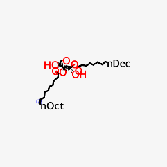 CCCCCCCC/C=C\CCCCCCCC(=O)O[C@H]1[C@@H]([C@@H](CO)OC(=O)CCCCCCCCCCCCCCCCC)OC[C@@H]1O